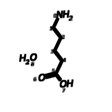 NCCCCC(=O)O.O